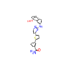 CC(O)c1cccc(Nc2nccc(-c3ccc(-c4cccc(C(N)=O)c4)s3)n2)c1